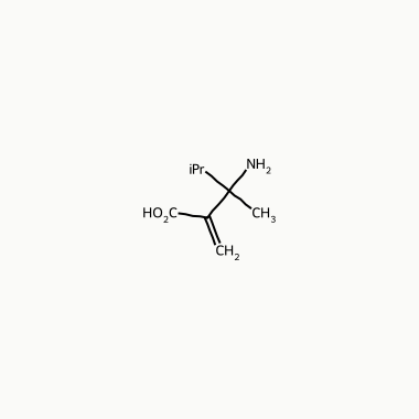 C=C(C(=O)O)C(C)(N)C(C)C